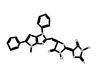 CCN1C(=O)/C(=c2\s/c(=C/c3nc4c(cc(-c5ccccc5)n4C)n3-c3ccccc3)c(=O)n2CC)SC1=S